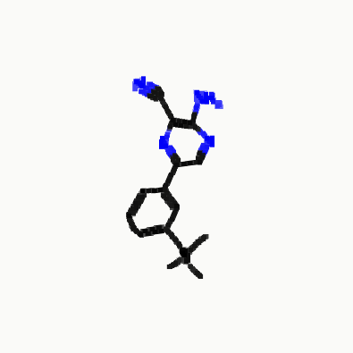 C[Si](C)(C)c1cccc(-c2cnc(N)c(C#N)n2)c1